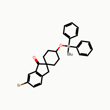 CC(C)(C)[Si](OC1[CH]CC2(CC1)Cc1ccc(Br)cc1C2=O)(c1ccccc1)c1ccccc1